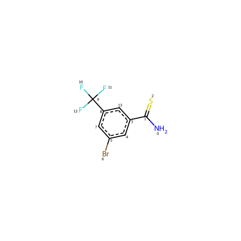 NC(=S)c1cc(Br)cc(C(F)(F)F)c1